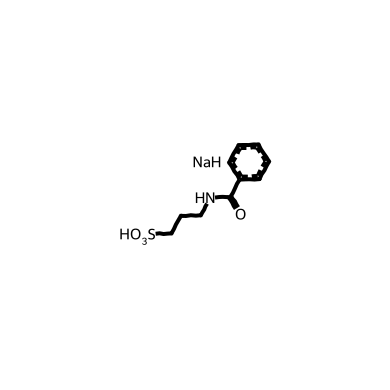 O=C(NCCCS(=O)(=O)O)c1ccccc1.[NaH]